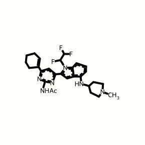 CC(=O)Nc1nc(C2=CCCCC2)cc(-c2cc3c(NC4CCN(C)CC4)cccc3n2C(F)C(F)F)n1